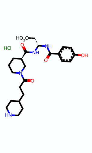 Cl.O=C(O)C[C@H](NC(=O)c1ccc(O)cc1)NC(=O)[C@@H]1CCCN(C(=O)CCC2CCNCC2)C1